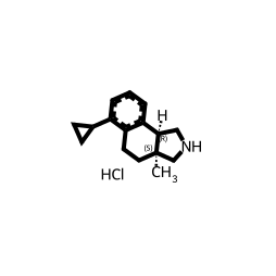 C[C@]12CCc3c(C4CC4)cccc3[C@H]1CNC2.Cl